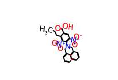 CCCc1c(C(=O)O)cc([N+](=O)[O-])c(N(Cc2ccccc2)Cc2ccccc2)c1[N+](=O)[O-]